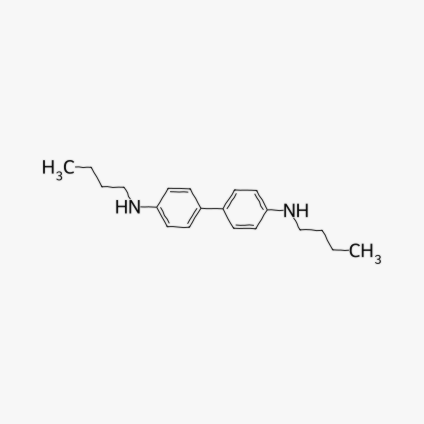 CCCCNc1ccc(-c2ccc(NCCCC)cc2)cc1